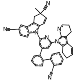 CC1(C#N)C=Cc2c(c3cc(C#N)ccc3n2-c2cc(-c3ccccc3-c3ccccc3C#N)cc(-n3c4c(c5c3N=CCC5)C=CCC4)n2)C1